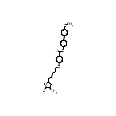 C=C1CC(CCCCCOc2ccc(C(=O)Oc3ccc(-c4ccc(OC)cc4)cc3)cc2)OC1=O